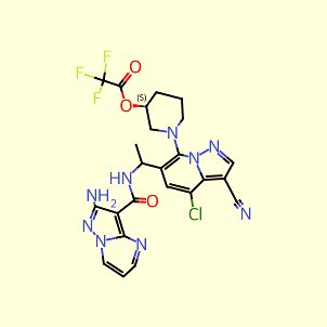 CC(NC(=O)c1c(N)nn2cccnc12)c1cc(Cl)c2c(C#N)cnn2c1N1CCC[C@H](OC(=O)C(F)(F)F)C1